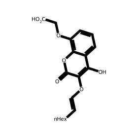 CCCCCCC=COc1c(O)c2cccc(OCC(=O)O)c2oc1=O